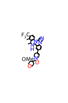 COC1(C(=O)N2CC=C(c3ccc4c(c3)c(NC(C)c3cccc(C(F)(F)F)c3C)nc3cncn34)CC2)CCOCC1